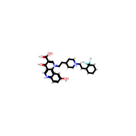 O=C(O)c1cn(CCC2CCN(CCC3CCCCC3(F)F)CC2)c2c(cnc3ccc(O)cc32)c1=O